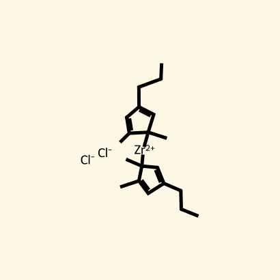 CCCC1=C[C](C)([Zr+2][C]2(C)C=C(CCC)C=C2C)C(C)=C1.[Cl-].[Cl-]